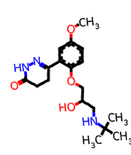 COc1ccc(OCC(O)CNC(C)(C)C)c(C2=NNC(=O)CC2)c1